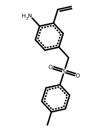 C=Cc1cc(CS(=O)(=O)c2ccc(C)cc2)ccc1N